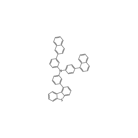 c1cc(-c2ccc3ccccc3c2)cc(N(c2ccc(-c3cccc4ccccc34)cc2)c2cccc(-c3cccc4sc5ccccc5c34)c2)c1